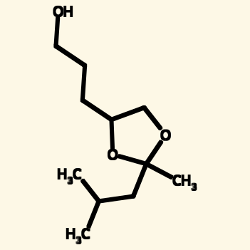 CC(C)CC1(C)OCC(CCCO)O1